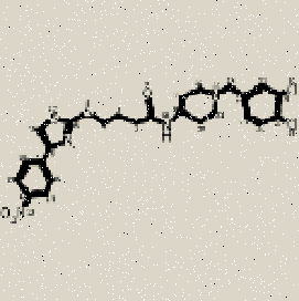 O=C(CCCSc1nc(-c2ccc([N+](=O)[O-])cc2)cs1)NC1CCN(Cc2ccc(Cl)c(Cl)c2)CC1